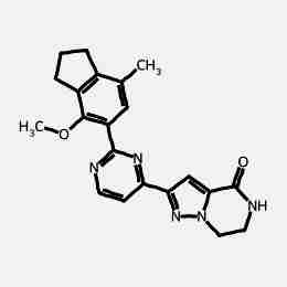 COc1c(-c2nccc(-c3cc4n(n3)CCNC4=O)n2)cc(C)c2c1CCC2